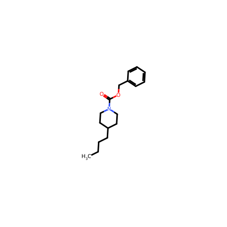 CCCCC1CCN(C(=O)OCc2ccccc2)CC1